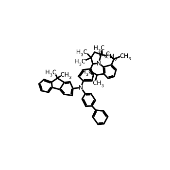 CC(C)c1cccc(C(C)C)c1N1C(c2ccc(N(c3ccc(-c4ccccc4)cc3)c3ccc4c(c3)C(C)(C)c3ccccc3-4)cc2)C(C)(C)CC1(C)C